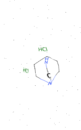 C1CN2CCC1NC2.Cl.Cl